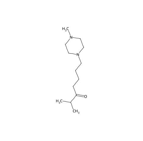 CC(C)C(=O)CCCCN1CCN(C)CC1